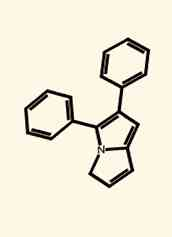 C1=Cc2cc(-c3ccccc3)c(-c3ccccc3)n2C1